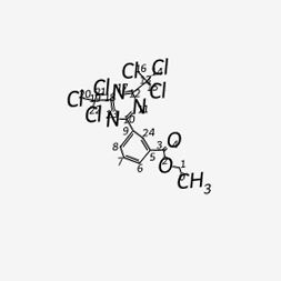 CCOC(=O)c1cccc(-c2nc(C(Cl)(Cl)Cl)nc(C(Cl)(Cl)Cl)n2)c1